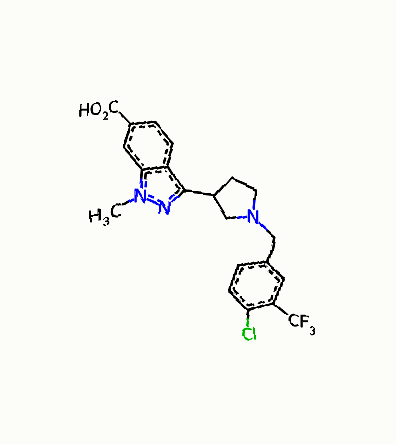 Cn1nc(C2CCN(Cc3ccc(Cl)c(C(F)(F)F)c3)C2)c2ccc(C(=O)O)cc21